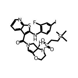 C[Si](C)(C)CCS(=O)(=O)N1CCOC2=CN(C(=O)c3c(Nc4ccc(I)cc4F)sc4ncccc34)C[C@@H]21